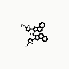 CCc1ccc(C2=Cc3c(ccc4ccccc34)[CH]2[Hf][CH]2C(c3ccc(CC)o3)=Cc3c2ccc2ccccc32)o1